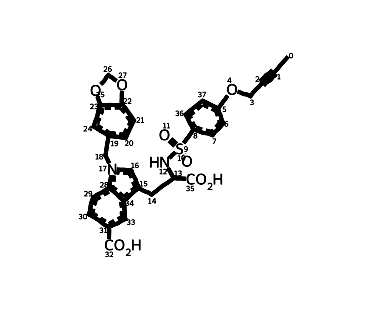 CC#CCOc1ccc(S(=O)(=O)NC(Cc2cn(Cc3ccc4c(c3)OCO4)c3ccc(C(=O)O)cc23)C(=O)O)cc1